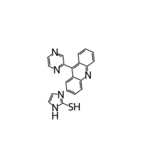 Sc1ncc[nH]1.c1ccc2c(-c3cnccn3)c3ccccc3nc2c1